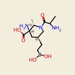 CC(N)C(=O)N1C[C@@H](CCB(O)O)C[C@](N)(C(=O)O)[C@@H]1C